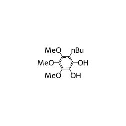 CCCCc1c(O)c(O)c(OC)c(OC)c1OC